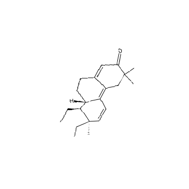 CC[C@H]1[C@@H]2CCC3=CC(=O)C(C)(C)CC3=C2C=C[C@@]1(C)CC